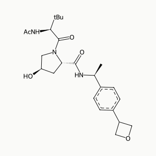 CC(=O)N[C@H](C(=O)N1C[C@H](O)C[C@H]1C(=O)N[C@@H](C)c1ccc(C2COC2)cc1)C(C)(C)C